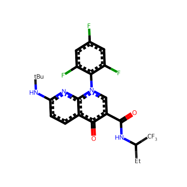 CCC(NC(=O)c1cn(-c2c(F)cc(F)cc2F)c2nc(NC(C)(C)C)ccc2c1=O)C(F)(F)F